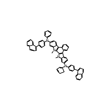 Cn1c2cc(N(C3=CC=CCC3)c3ccc(-c4cccc5ccccc45)cc3)ccc2c2c3ccccc3c3c4ccc(N(c5ccccc5)c5ccc(-c6cccc7ccccc67)cc5)cc4n(C)c3c21